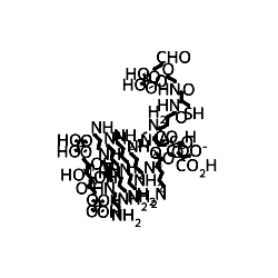 CC(=O)C(=O)OC(C)C(=O)O.C[N+](C)(C)CC(CC(=O)[O-])OC(=O)[C@@H](N)CCCN.NC(CCC(=O)NC(CS)C(=O)NCC(=O)OC(C=O)COP(=O)(O)O)C(=O)O.NCCCCN.NCCCCNCCCN.NCCCCNCCCN.NCCCNCCCCNCCCN.O=C(COP(=O)(O)O)[C@@H](O)[C@H](O)[C@H](O)COP(=O)(O)O